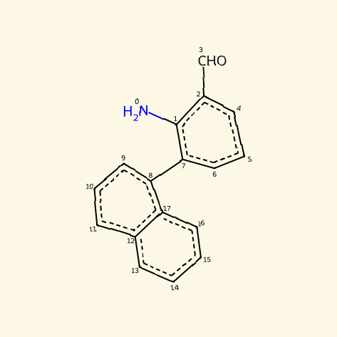 Nc1c(C=O)cccc1-c1cccc2ccccc12